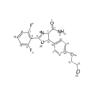 NC(=O)C1N=C(c2c(F)cccc2F)OC1c1ccc(OCCCl)cc1